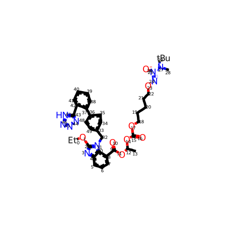 CCOc1nc2cccc(C(=O)OC(C)OC(=O)OCCCCCO/N=[N+](\[O-])N(C)C(C)(C)C)c2n1Cc1ccc(-c2ccccc2-c2nnn[nH]2)cc1